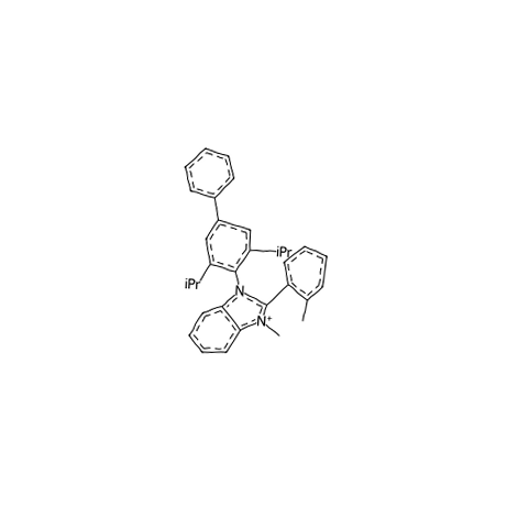 Cc1ccccc1-c1n(-c2c(C(C)C)cc(-c3ccccc3)cc2C(C)C)c2ccccc2[n+]1C